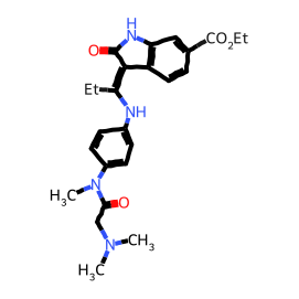 CCOC(=O)c1ccc2c(c1)NC(=O)C2=C(CC)Nc1ccc(N(C)C(=O)CN(C)C)cc1